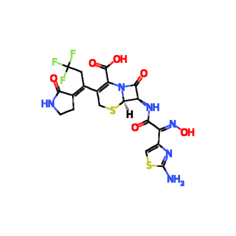 Nc1nc(C(=NO)C(=O)N[C@@H]2C(=O)N3C(C(=O)O)=C(C(CC(F)(F)F)=C4CCNC4=O)CS[C@H]23)cs1